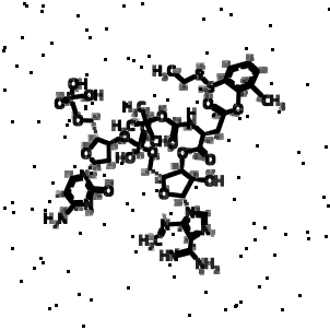 C=Nc1c(C(=N)N)ncn1[C@@H]1O[C@H](COP(=O)(O)O[C@H]2C[C@H](n3ccc(N)nc3=O)O[C@@H]2COP(=O)(O)O)[C@@H](OC(=O)[C@H](CC(=O)Oc2c(C)cccc2SSCC)NC(=O)OC(C)(C)C)[C@H]1O